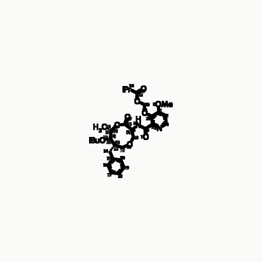 COc1ccnc(C(=O)N[C@H]2COC[C@H](Cc3ccccc3)[C@@H](OCC(C)C)[C@H](C)OC2=O)c1OCOC(=O)C(C)C